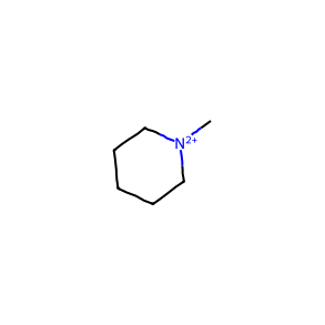 C[N+2]1CCCCC1